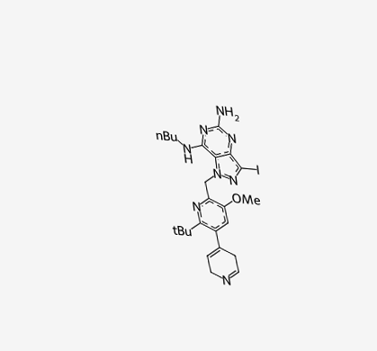 CCCCNc1nc(N)nc2c(I)nn(Cc3nc(C(C)(C)C)c(C4=CCN=CC4)cc3OC)c12